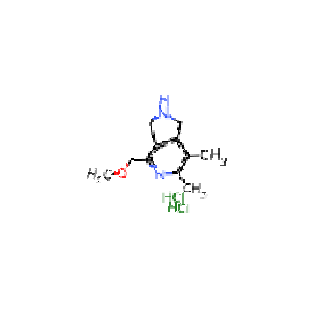 COCc1nc(C)c(C)c2c1CNC2.Cl.Cl